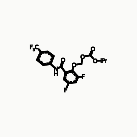 CC(C)OC(=O)OCOc1c(F)cc(F)cc1C(=O)Nc1ccc(C(F)(F)F)cc1